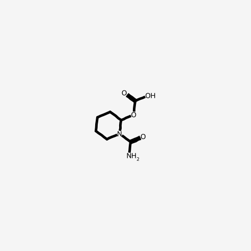 NC(=O)N1CCCCC1OC(=O)O